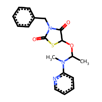 CC(OC1SC(=O)N(Cc2ccccc2)C1=O)N(C)c1ccccn1